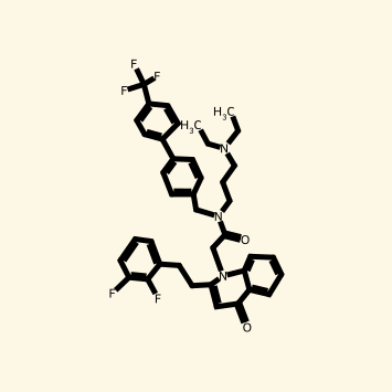 CCN(CC)CCCN(Cc1ccc(-c2ccc(C(F)(F)F)cc2)cc1)C(=O)Cn1c(CCc2cccc(F)c2F)cc(=O)c2ccccc21